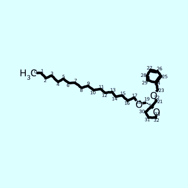 CCCCCCCCCCCCCCCCCCOC[C@@]1(COCc2ccccc2)CCCO1